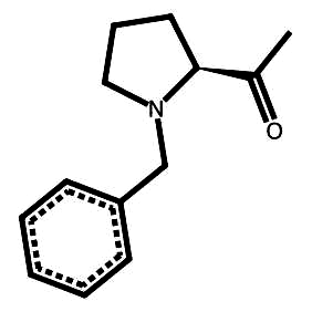 CC(=O)[C@@H]1CCCN1Cc1ccccc1